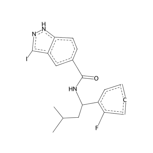 CC(C)CC(NC(=O)c1ccc2[nH]nc(I)c2c1)c1ccccc1F